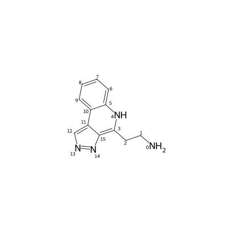 NCCc1[nH]c2ccccc2c2cnnc1-2